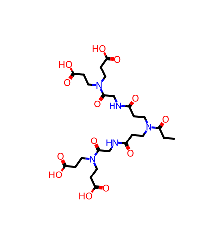 CCC(=O)N(CCC(=O)NCC(=O)N(CCC(=O)O)CCC(=O)O)CCC(=O)NCC(=O)N(CCC(=O)O)CCC(=O)O